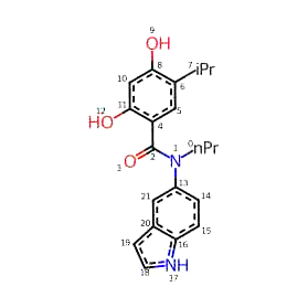 CCCN(C(=O)c1cc(C(C)C)c(O)cc1O)c1ccc2[nH]ccc2c1